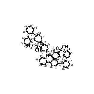 CC1(C)c2ccccc2-c2ccc(N(c3ccc4c(c3)C(C)(C)c3cc(-c5ccccc5-c5ccccc5)ccc3-4)c3ccccc3-c3ccc(-c4ccccc4)cc3)cc21